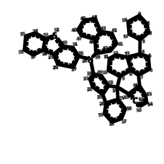 c1ccc(-c2ccc3c4c(cccc24)C2(c4ccccc4-c4ccc(N(c5ccc6c(c5)sc5ccccc56)c5cccc6ccccc56)cc42)c2ccccc2-3)cc1